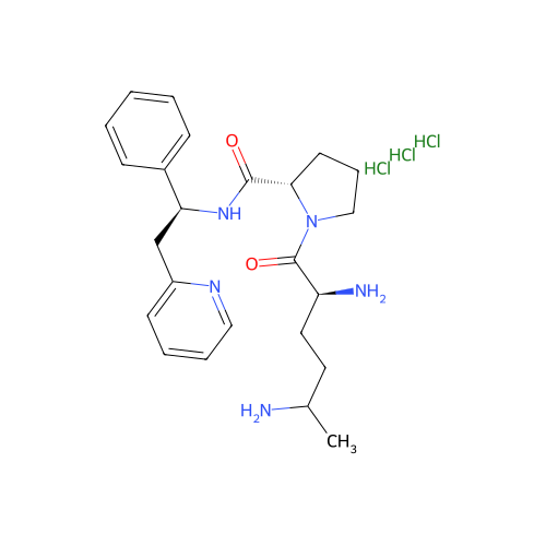 CC(N)CC[C@H](N)C(=O)N1CCC[C@H]1C(=O)N[C@@H](Cc1ccccn1)c1ccccc1.Cl.Cl.Cl